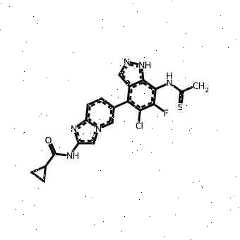 CC(=S)Nc1c(F)c(Cl)c(-c2ccc3nc(NC(=O)C4CC4)cn3c2)c2cn[nH]c12